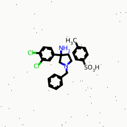 Cc1ccc(S(=O)(=O)O)cc1.NC1(c2ccc(Cl)c(Cl)c2)CCN(Cc2ccccc2)C1